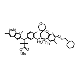 Cc1cc2cc(C(c3ccc(C)c(CN4CC5(CCOCC5)Oc5nc(OCCN6CCCCC6)c(C)cc5S4(O)O)c3)C(C)(C)C(=O)OC(C)(C)C)n(C)c2nn1